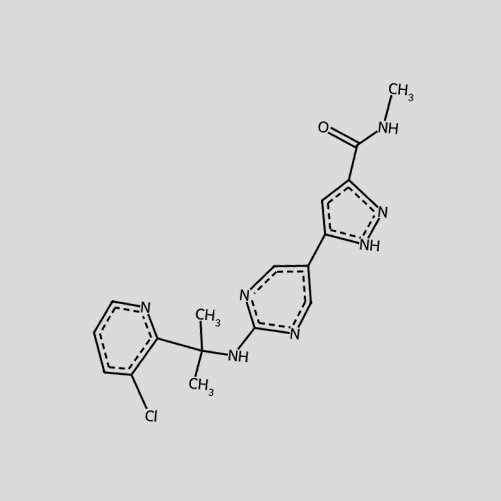 CNC(=O)c1cc(-c2cnc(NC(C)(C)c3ncccc3Cl)nc2)[nH]n1